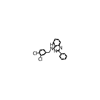 Clc1ccc(CNc2nc(-c3ccccc3)nc3ccccc23)cc1Cl